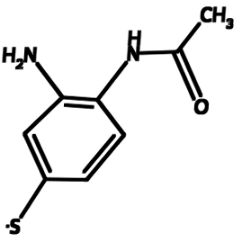 CC(=O)Nc1ccc([S])cc1N